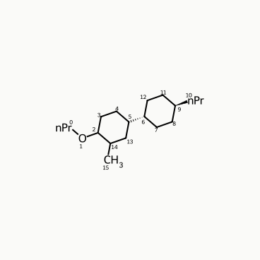 CCCOC1CCC([C@H]2CC[C@H](CCC)CC2)CC1C